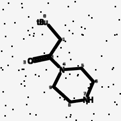 CC(C)(C)CC(=O)N1CCNCC1